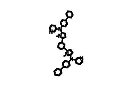 Cn1c(-c2cccc(-c3ccc(N(c4ccc(-c5ccccc5)cc4)c4cccnc4)n3C)c2)ccc1N(c1ccc(-c2ccccc2)cc1)c1cccnc1